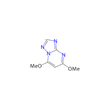 COc1cc(OC)n2n[c]nc2n1